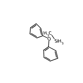 C[SiH3].c1ccc(Oc2ccccc2)cc1